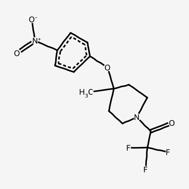 CC1(Oc2ccc([N+](=O)[O-])cc2)CCN(C(=O)C(F)(F)F)CC1